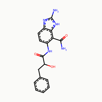 NC(=O)c1c(NC(=O)C(O)[CH]c2ccccc2)ccc2nc(N)[nH]c12